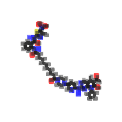 CC(=O)c1c(C)c2cnc(Nc3ccc(N4CCN(C(=O)CCCCCCCCCC(=O)Nc5ccccc5C(=O)Nc5nc(C)c([N+](=O)[O-])s5)CC4)cn3)nc2n(C2CCCC2)c1=O